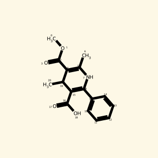 COC(=O)C1=C(C)NC(c2ccccc2)=C(C(=O)O)C1C